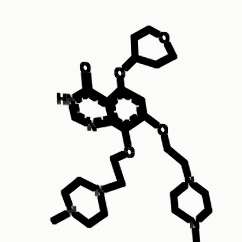 CN1CCN(CCOc2cc(OC3CCOCC3)c3c(=O)[nH]cnc3c2OCCN2CCN(C)CC2)CC1